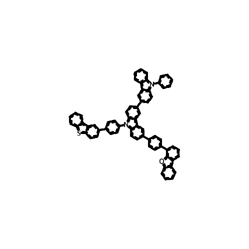 c1ccc(-n2c3ccccc3c3cc(-c4ccc5c(c4)c4cc(-c6ccc(-c7cccc8c7oc7ccccc78)cc6)ccc4n5-c4ccc(-c5ccc6sc7ccccc7c6c5)cc4)ccc32)cc1